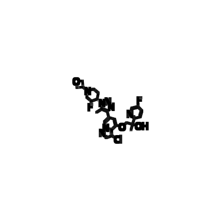 Cc1c(-c2cc(OCC(C)(O)c3ccc(F)cn3)c3c(Cl)cnn3c2)nnn1[C@H]1CCN(C2COC2)C[C@@H]1F